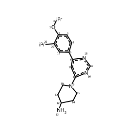 CC(C)Oc1ccc(-c2cc(N3CCC(N)CC3)ncn2)cc1C(C)C